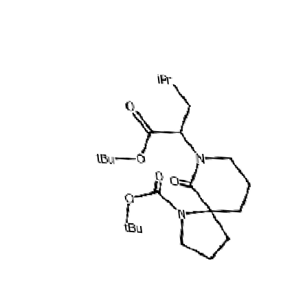 CC(C)CC(C(=O)OC(C)(C)C)N1CCCC2(CCCN2C(=O)OC(C)(C)C)C1=O